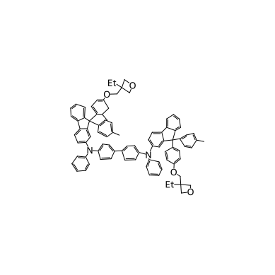 CCC1(COC2=CC=C(C3(c4ccc(C)cc4)c4ccccc4-c4ccc(N(c5ccccc5)c5ccc(-c6ccc(N(c7ccccc7)c7ccc8c(c7)C(c7ccc(C)cc7)(c7ccc(OCC9(CC)COC9)cc7)c7ccccc7-8)cc6)cc5)cc43)C(C)C2)COC1